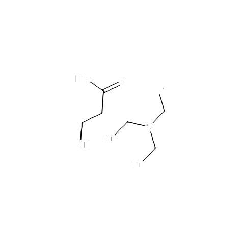 CC(C)CN(CC(C)C)CC(C)C.CCCC(=O)O